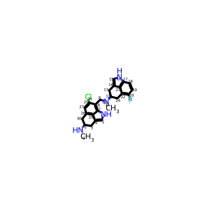 CNC1Cc2c[nH]c3c(CN(C)C4Cc5c[nH]c6ccc(F)c(c56)C4)c(Cl)cc(c23)C1